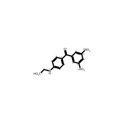 O=C(O)CNc1ccc(C(=O)c2cc([N+](=O)[O-])cc([N+](=O)[O-])c2)cc1